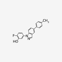 Cc1ccc(-c2ccc3c(cnn3-c3ccc(F)c(O)c3)c2)cc1